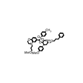 COCCCN1CCOc2ccc(C(O[C@H]3CN[C@H](COCCCc4ccccc4)C[C@@H]3c3ccc(OC)cc3)S(=O)(=O)c3ccc(C)cc3)cc21